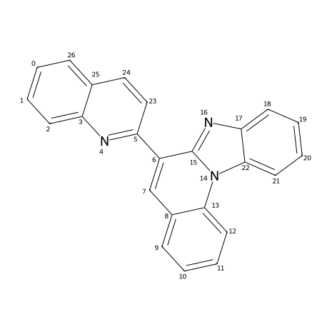 c1ccc2nc(-c3cc4ccccc4n4c3nc3ccccc34)ccc2c1